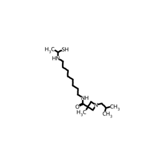 CC(C)CN1CC(C)(C(=O)NCCCCCCCCNC(C)S)C1